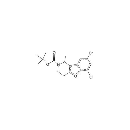 CC1c2c(oc3c(Cl)cc(Br)cc23)CCN1C(=O)OC(C)(C)C